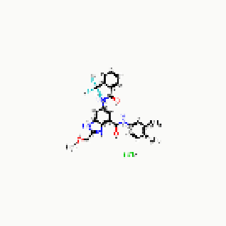 COCc1nc2c(C(=O)Nc3ccc(C)c(C)c3)cc(NC(=O)c3ccccc3C(F)(F)F)cc2[nH]1.Cl